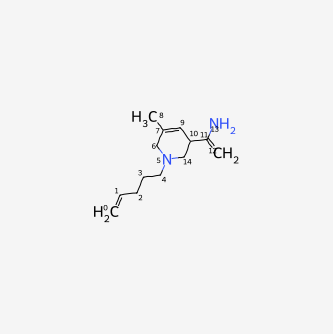 C=CCCCN1CC(C)=CC(C(=C)N)C1